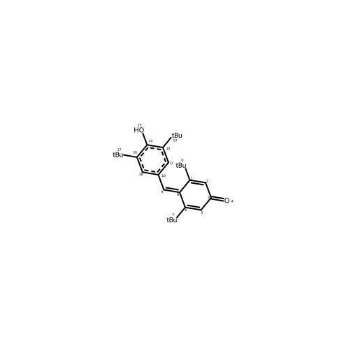 CC(C)(C)C1=CC(=O)C=C(C(C)(C)C)C1=Cc1cc(C(C)(C)C)c(O)c(C(C)(C)C)c1